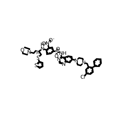 O=[N+]([O-])c1cc(S(=O)(=O)Nc2ncnc3cc(N4CCN(Cc5cc(Cl)ccc5-c5ccccc5)CC4)ccc23)ccc1N[C@H](CCN1CCOCC1)CSc1cccs1